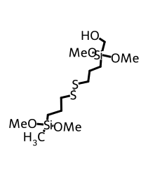 CO[Si](C)(CCCSSCCC[Si](CO)(OC)OC)OC